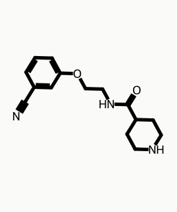 N#Cc1cccc(OCCNC(=O)C2CCNCC2)c1